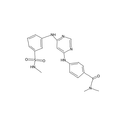 CNS(=O)(=O)c1cccc(Nc2cc(Nc3ccc(C(=O)N(C)C)cc3)ncn2)c1